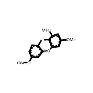 CCCCOc1ccc([I+]c2c(OC)cc(OC)cc2OC)cc1